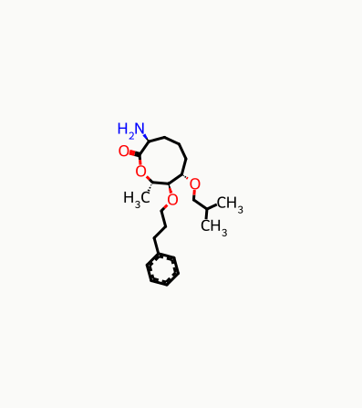 CC(C)CO[C@H]1CCC[C@H](N)C(=O)O[C@@H](C)[C@@H]1OCCCc1ccccc1